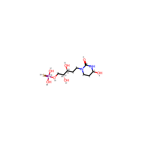 O=C1NC(O)CCN1CC[C@H](O)[C@H](O)COP(O)(O)=S